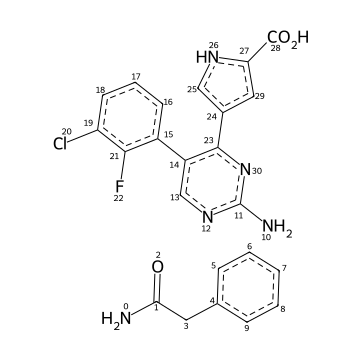 NC(=O)Cc1ccccc1.Nc1ncc(-c2cccc(Cl)c2F)c(-c2c[nH]c(C(=O)O)c2)n1